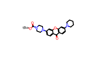 CC(C)(C)OC(=O)N1CCN(c2ccc3c(=O)c4ccc(N5CCCCC5)cc4oc3c2)CC1